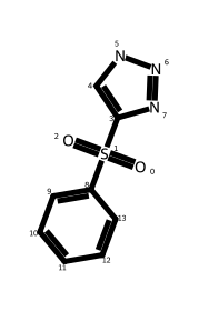 O=S(=O)(C1=C[N]N=N1)c1ccccc1